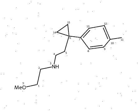 COCCNCCC1(c2ccc(C)cc2)CC1